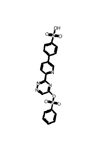 O=S(=O)(O)c1ccc(-c2ccc(-c3nncc(OS(=O)(=O)c4ccccc4)n3)nc2)cc1